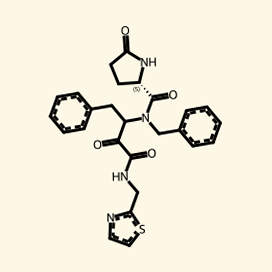 O=C1CC[C@@H](C(=O)N(Cc2ccccc2)C(Cc2ccccc2)C(=O)C(=O)NCc2nccs2)N1